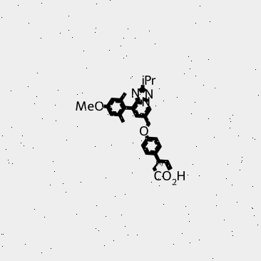 C=C[C@@H](CC(=O)O)c1ccc(OCc2cc(-c3c(C)cc(OC)cc3C)c3nc(C(C)C)nn3c2)cc1